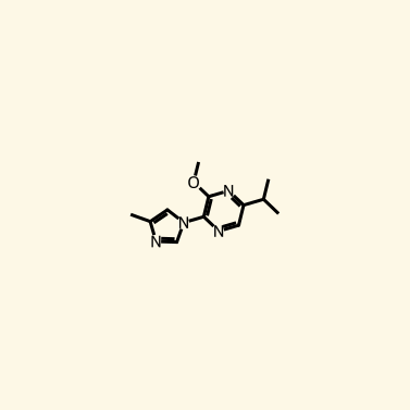 COc1nc(C(C)C)cnc1-n1cnc(C)c1